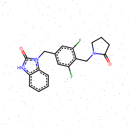 O=C1CCCN1Cc1c(F)cc(Cn2c(=O)[nH]c3ccccc32)cc1F